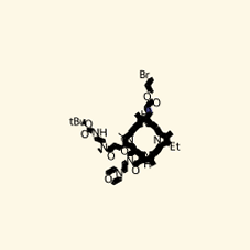 CCC1=C(C)c2cc3[nH]c(cc4nc(c5c6[nH]c(cc1n2)c(C)c6C(=O)N(CCN1CCOCC1)C5=O)[C@@H](CCC(=O)N(C)CCNC(=O)OC(C)(C)C)[C@@H]4C)c(C)c3/C=C/C(=O)OCCCBr